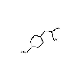 CCCCCCCN1CCC(CN(CCC)CCC)CC1